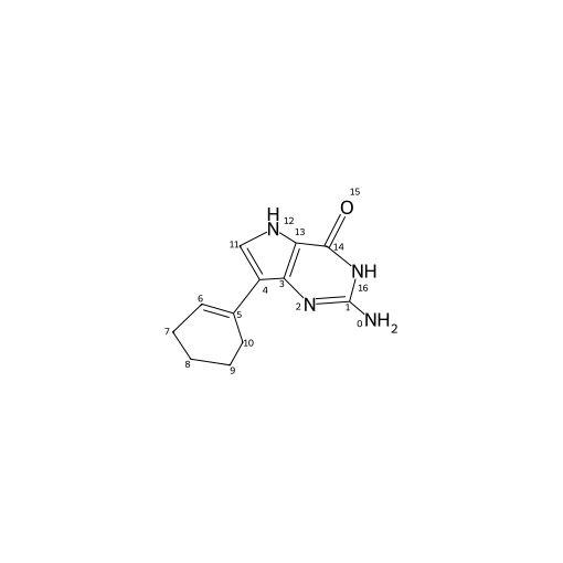 Nc1nc2c(C3=CCCCC3)c[nH]c2c(=O)[nH]1